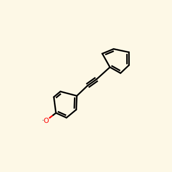 [O]c1ccc(C#Cc2ccccc2)cc1